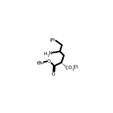 CCOC(=O)[C@@H](CC(N)CC(C)C)C(=O)OC(C)(C)C